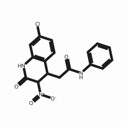 O=C(CC1c2ccc(Cl)cc2NC(=O)C1[N+](=O)[O-])Nc1ccccc1